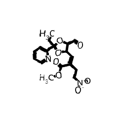 CCC1(c2ccccn2)OC(C=O)C(C=C(CC[N+](=O)[O-])C(=O)OC)O1